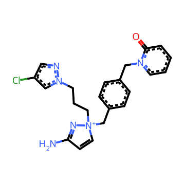 NC1=N[N+](CCCn2cc(Cl)cn2)(Cc2ccc(Cn3ccccc3=O)cc2)C=C1